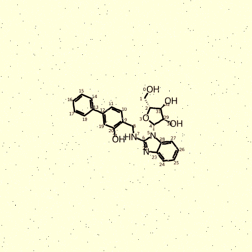 OC[C@H]1O[C@@H](n2c(NCc3ccc(-c4ccccc4)cc3O)nc3ccccc32)[C@H](O)[C@@H]1O